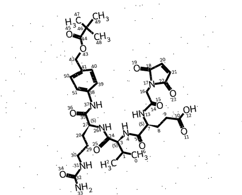 CC(C)[C@H](NC(=O)[C@H](CCC(=O)O)NC(=O)CN1C(=O)C=CC1=O)C(=O)N[C@@H](CCCNC(N)=O)C(=O)Nc1ccc(COC(=O)C(C)(C)C)cc1